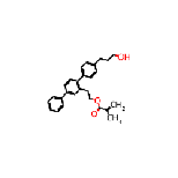 C=C(C)C(=O)OCCc1cc(-c2ccccc2)ccc1-c1ccc(CCCO)cc1